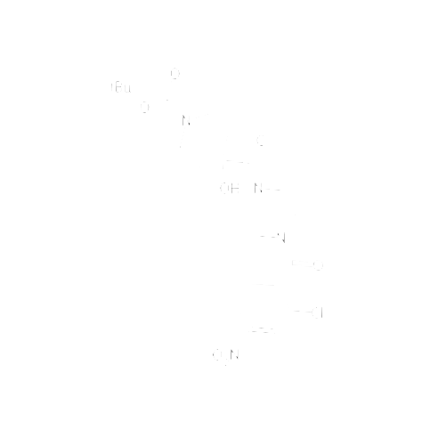 CC(C)(C)OC(=O)N1CCC(O)(C(=O)N2CCN(C(=O)c3ccc([N+](=O)[O-])cc3Cl)CC2)CC1